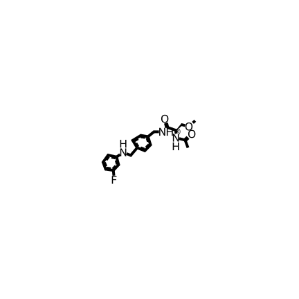 COC[C@@H](NC(C)=O)C(=O)NCc1ccc(CNc2cccc(F)c2)cc1